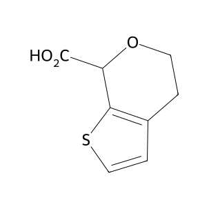 O=C(O)C1OCCc2ccsc21